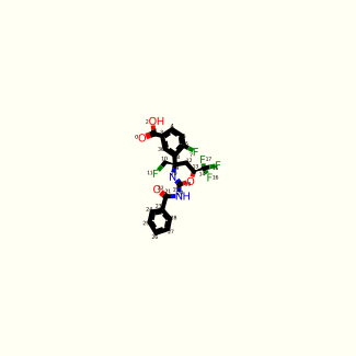 O=C(O)c1ccc(F)c([C@]2(CF)C[C@@H](C(F)(F)F)OC(NC(=O)c3ccccc3)=N2)c1